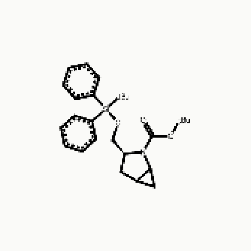 CC(C)(C)OC(=O)N1C2CC2C[C@H]1CO[Si](c1ccccc1)(c1ccccc1)C(C)(C)C